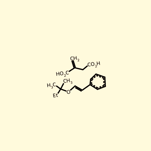 C=C(CC(=O)O)C(=O)O.CCC(C)(C)OC=Cc1ccccc1